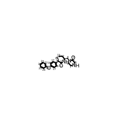 O=C1N[C@H](CN2CCNCC2=O)CCS[C@@H]1c1ccc(Oc2ccccc2)cc1